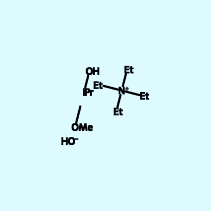 CC(C)O.CC[N+](CC)(CC)CC.COC.[OH-]